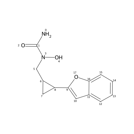 NC(=O)N(O)CC1CC1c1cc2ccccc2o1